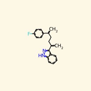 C=C(CCC(=C)c1n[nH]c2ccccc12)c1ccc(F)cc1